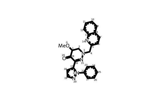 COC1CN(Cc2ccc3ccccc3n2)N=C(c2ccnn2-c2ccccc2)C1=O